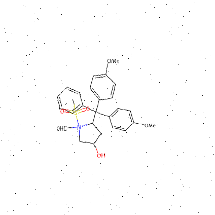 COc1ccc(C(c2ccccc2)(c2ccc(OC)cc2)C2CC(O)C[N+]2(C=O)S(C)(=O)=O)cc1